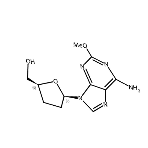 COc1nc(N)c2ncn([C@H]3CC[C@@H](CO)O3)c2n1